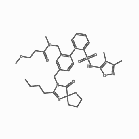 CCCCC1=NC2(CCCC2)C(=O)N1Cc1ccc(-c2ccccc2S(=O)(=O)Nc2onc(C)c2C)c(CN(C)C(=O)CCOC)c1